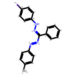 O=[N+]([O-])c1ccc(N=NC(=NNc2ccc(I)cc2)c2ccccc2)cc1